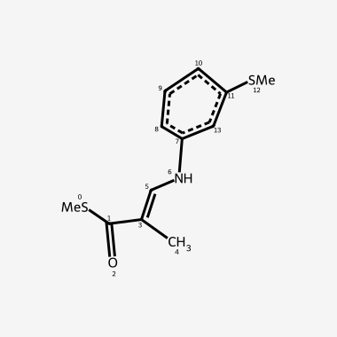 CSC(=O)/C(C)=C/Nc1cccc(SC)c1